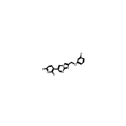 Fc1cccc(OCc2cn3cc(-c4ccc(F)nc4F)cnc3n2)c1